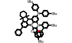 CC(C)(C)c1ccc(N(c2ccc(C(C)(C)C)cc2)c2cc3c4c(c2)N(c2ccc(C(C)(C)C)cc2-c2ccccc2)c2c(oc5cc(C(C)(C)C)ccc25)B4c2cc(-c4ccccc4)cc4c2C3C2(C)CCCCC42C)cc1